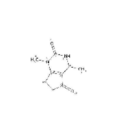 CC1NC(=O)N(C)C2=C1C(=O)CC2